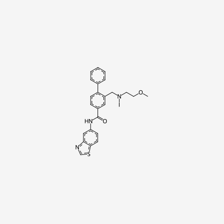 COCCN(I)Cc1cc(C(=O)Nc2ccc3scnc3c2)ccc1-c1ccccc1